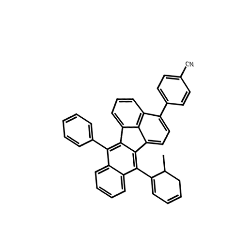 CC1CC=CC=C1c1c2c(c(-c3ccccc3)c3ccccc13)-c1cccc3c(-c4ccc(C#N)cc4)ccc-2c13